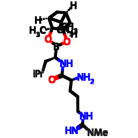 CNC(=N)NCCC[C@H](N)C(=O)N[C@@H](CC(C)C)B1O[C@@H]2C[C@@H]3C[C@@H](C3(C)C)[C@]2(C)O1